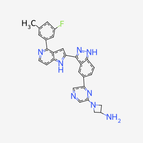 Cc1cc(F)cc(-c2nccc3[nH]c(-c4n[nH]c5ccc(-c6cncc(N7CC(N)C7)n6)cc45)cc23)c1